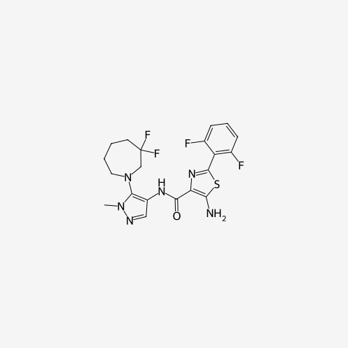 Cn1ncc(NC(=O)c2nc(-c3c(F)cccc3F)sc2N)c1N1CCCCC(F)(F)C1